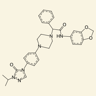 CC(C)n1ncn(-c2ccc(N3CCN(C(C(=O)Nc4ccc5c(c4)OCO5)c4ccccc4)CC3)cc2)c1=O